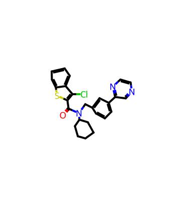 O=C(c1sc2ccccc2c1Cl)N(Cc1cccc(-c2cnccn2)c1)C1CCCCC1